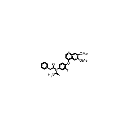 COc1cc2nccc(Oc3ccc(N(C(=O)Cc4ccccc4)C(N)=S)cc3F)c2cc1OC